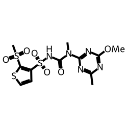 COc1nc(C)nc(N(C)C(=O)NS(=O)(=O)c2ccsc2S(C)(=O)=O)n1